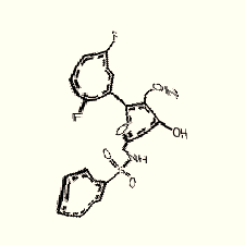 O=S(=O)(Nc1oc(-c2cc(F)ccc2F)c(O)c1O)c1ccccc1